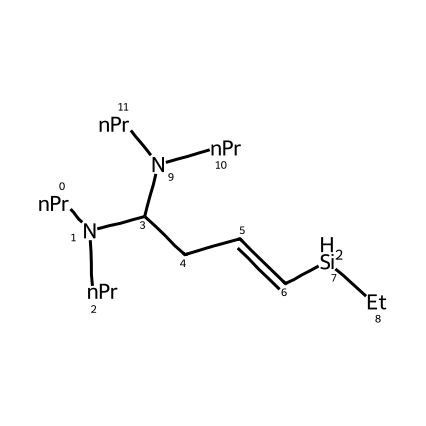 CCCN(CCC)C(CC=C[SiH2]CC)N(CCC)CCC